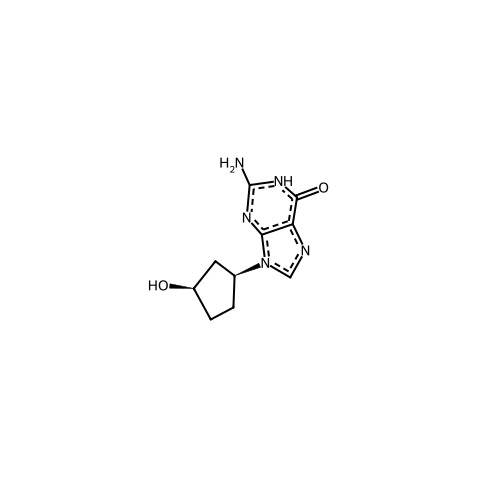 Nc1nc2c(ncn2[C@H]2CC[C@@H](O)C2)c(=O)[nH]1